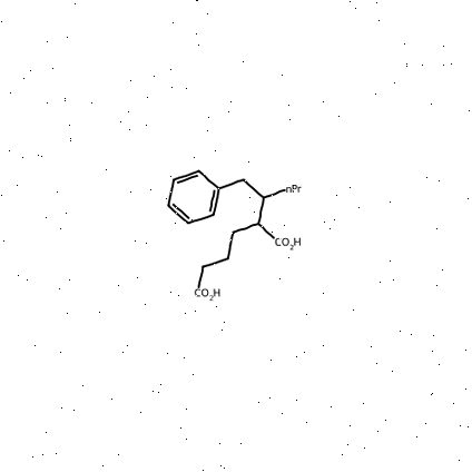 CCCC(Cc1ccccc1)C(CCCC(=O)O)C(=O)O